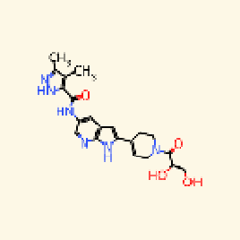 Cc1n[nH]c(C(=O)Nc2cnc3[nH]c(C4=CCN(C(=O)C(O)CO)CC4)cc3c2)c1C